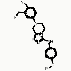 CC(C)Oc1ccc(Nc2nnc3n2CCN(c2ccc(C#N)c(CF)c2)C3)cc1